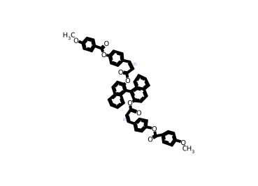 COc1ccc(C(=O)Oc2ccc(/C=C\C(=O)Oc3ccc4ccccc4c3-c3c(OC(=O)/C=C\c4ccc(OC(=O)c5ccc(OC)cc5)cc4)ccc4ccccc34)cc2)cc1